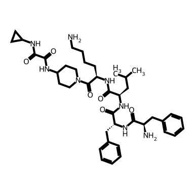 CC(C)C[C@@H](NC(=O)[C@@H](Cc1ccccc1)NC(=O)[C@H](N)Cc1ccccc1)C(=O)N[C@H](CCCCN)C(=O)N1CCC(NC(=O)C(=O)NC2CC2)CC1